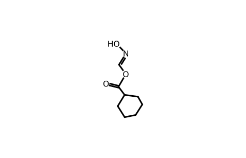 O=C(OC=NO)C1CCCCC1